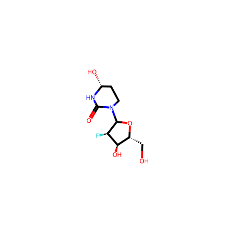 O=C1N[C@H](O)CCN1C1O[C@H](CO)[C@@H](O)[C@H]1F